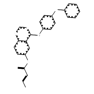 O=C(C=CCl)Nc1ccc2ncnc(Nc3ccc(Oc4ccccc4)cc3)c2c1